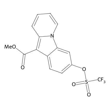 COC(=O)c1c2ccc(OS(=O)(=O)C(F)(F)F)cc2n2ccccc12